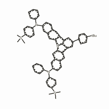 CC(C)(C)c1ccc(-c2cc3c4cc5ccc(N(c6ccccc6)c6ccc(S(C)(C)C)cc6)cc5cc4n4c5cc6cc(N(c7ccccc7)c7ccc(S(C)(C)C)cc7)ccc6cc5c(c2)c34)cc1